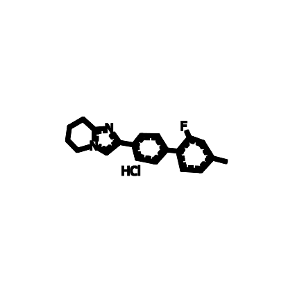 Cc1ccc(-c2ccc(-c3cn4c(n3)CCCC4)cc2)c(F)c1.Cl